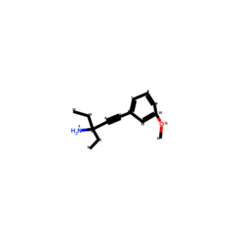 CCC(N)(C#Cc1cc[c]c(OC)c1)CC